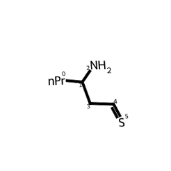 CCCC(N)CC=S